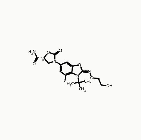 CC(C)(C)n1c(=NOCCO)oc2cc(N3C[C@H](C(N)=O)OC3=O)cc(F)c21